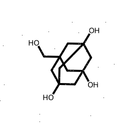 OCC12CC3(O)CC(O)(CC(O)(C3)C1)C2